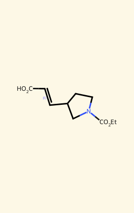 CCOC(=O)N1CCC(/C=C/C(=O)O)C1